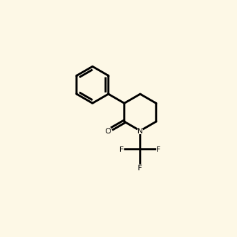 O=C1C(c2ccccc2)CCCN1C(F)(F)F